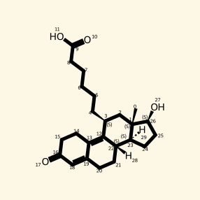 C[C@]12C[C@H](CCCCCC(=O)O)C3=C4CCC(=O)C=C4CC[C@H]3[C@@H]1CC[C@@H]2O